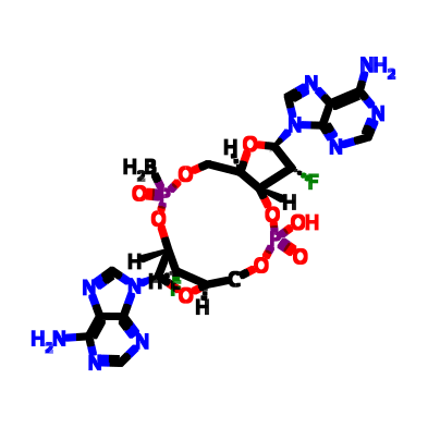 BP1(=O)OC[C@H]2O[C@@H](n3cnc4c(N)ncnc43)[C@H](F)[C@@H]2OP(=O)(O)OC[C@H]2O[C@@H](n3cnc4c(N)ncnc43)[C@H](O1)[C@@H]2F